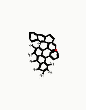 [2H]c1c([2H])c([2H])c2c(-c3ccccc3)c3c(-c4cccc5ccc6cc7ccccc7cc6c45)c([2H])c([2H])c([2H])c3c([2H])c2c1[2H]